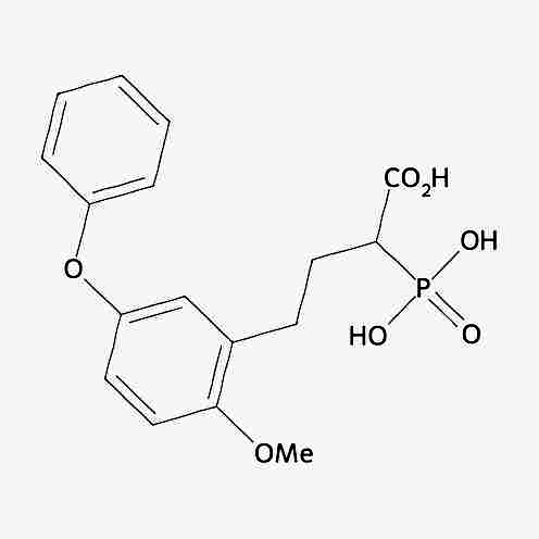 COc1ccc(Oc2ccccc2)cc1CCC(C(=O)O)P(=O)(O)O